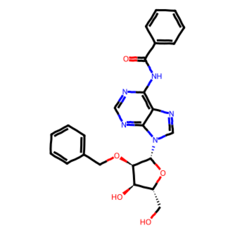 O=C(Nc1ncnc2c1ncn2[C@@H]1O[C@H](CO)[C@@H](O)[C@H]1OCc1ccccc1)c1ccccc1